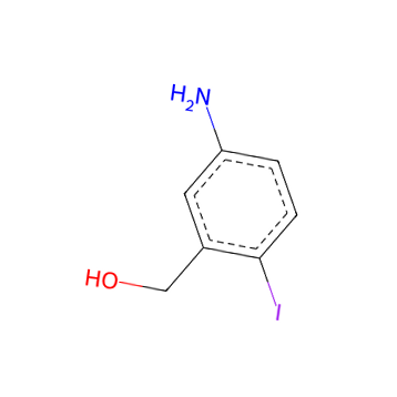 Nc1ccc(I)c(CO)c1